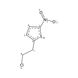 O=[N+]([O-])c1ccc(CCCl)s1